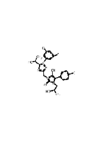 CC(O)c1nc(Cn2c(C#N)c(-c3ccc(Cl)cc3)n(CC(O)C(F)(F)F)c2=O)nn1-c1cc(F)cc(Cl)c1